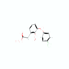 COc1c(CC(=O)O)cccc1Oc1ccc(Cl)cc1